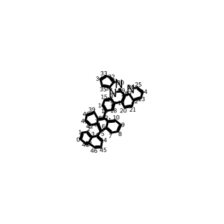 c1ccc2c(-c3c4ccccc4c(-c4ccc5c(c4)c4ccc6cccnc6c4c4nc6ccccc6n54)c4ccccc34)cccc2c1